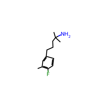 Cc1cc(CCCC(C)(C)N)ccc1F